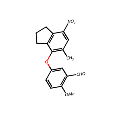 COc1ccc(Oc2c(C)cc([N+](=O)[O-])c3c2CCC3)cc1C=O